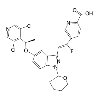 C[C@@H](Oc1ccc2c(c1)c(/C=C(\F)c1ccc(C(=O)O)nc1)nn2C1CCCCO1)c1c(Cl)cncc1Cl